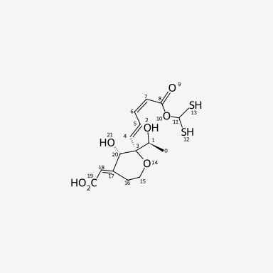 C[C@H](O)[C@@]1(/C=C/C=C\C(=O)OC(S)S)OCC/C(=C\C(=O)O)[C@@H]1O